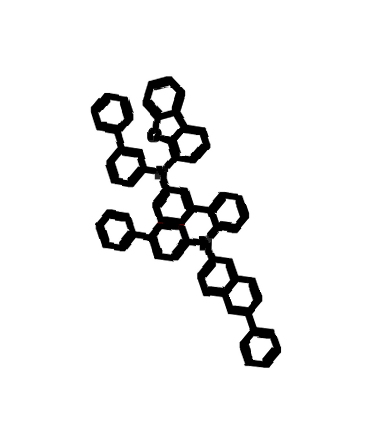 c1ccc(-c2ccc(N(c3ccc4cc(-c5ccccc5)ccc4c3)c3ccccc3-c3cccc(N(c4cccc(-c5ccccc5)c4)c4cccc5c4oc4ccccc45)c3)cc2)cc1